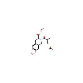 CCOC(=O)C1Cc2cc3c(cc2CN1C(=O)C(C)CSC(C)=O)OCO3